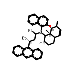 CCC(C[C@@H](CC)c1c2ccccc2cc2ccccc12)B(c1c(C)ccc2ccccc12)C1[C@@H](C)CCC2C=CC(C)[C@H](C)[C@]21C